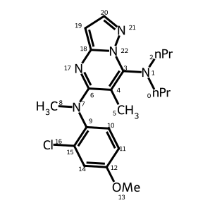 CCCN(CCC)c1c(C)c(N(C)c2ccc(OC)cc2Cl)nc2ccnn12